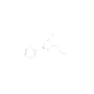 Nc1sc(-c2ccccc2)cc1OC=O